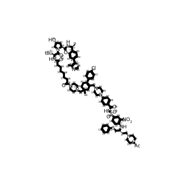 CC(=O)N1CCN(CC[C@H](CSc2ccccc2)Nc2ccc(S(=O)(=O)NC(=O)c3ccc(N4CCN(CC5=C(c6ccc(Cl)cc6)CCC(C)(CN6CCN(C(=O)CCCCCCC(=O)N[C@H](C(=O)N7C[C@H](O)C[C@H]7C(=O)N[C@@H](C)c7ccc(-c8scnc8C)cc7)C(C)(C)C)CC6)C5)CC4)cc3)cc2[N+](=O)[O-])CC1